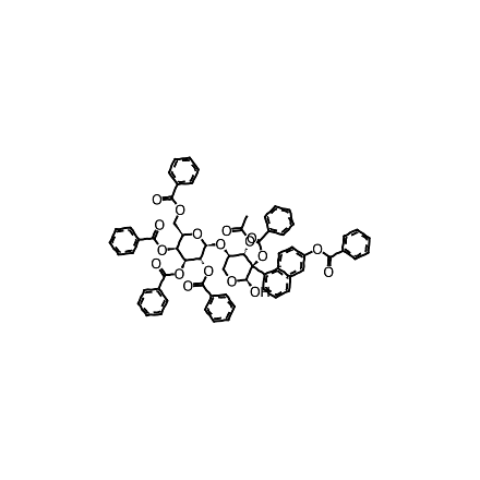 CC(=O)O[C@H]1[C@H](O[C@@H]2O[C@H](COC(=O)c3ccccc3)[C@H](OC(=O)c3ccccc3)[C@H](OC(=O)c3ccccc3)[C@H]2OC(=O)c2ccccc2)CO[C@H](O)[C@@]1(OC(=O)c1ccccc1)c1cccc2cc(OC(=O)c3ccccc3)ccc12